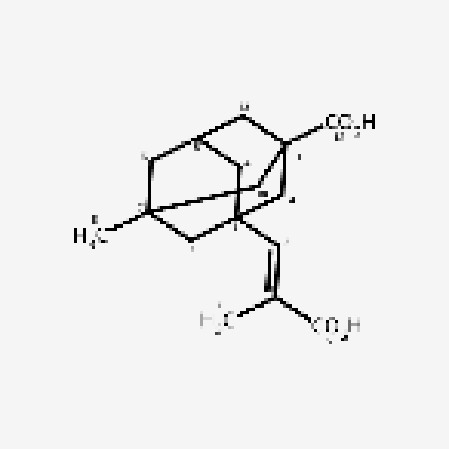 CC(=CC12CC3CC(C)(C1)CC(C(=O)O)(C3)C2)C(=O)O